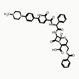 CN1CCN(c2ccc(-c3ccc(C(=O)NC(C(=O)NC4C(=O)N5C(C(=O)O)=C(CSC(=O)c6ccccc6)CS[C@@H]45)c4ccccc4)c(=O)[nH]3)cc2)CC1